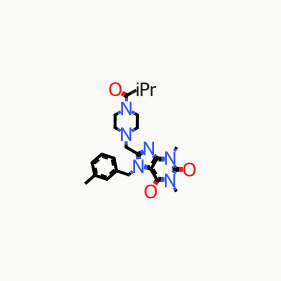 Cc1cccc(Cn2c(CN3CCN(C(=O)C(C)C)CC3)nc3c2c(=O)n(C)c(=O)n3C)c1